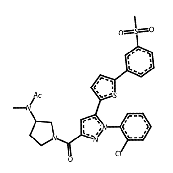 CC(=O)N(C)C1CCN(C(=O)c2cc(-c3ccc(-c4cccc(S(C)(=O)=O)c4)s3)n(-c3ccccc3Cl)n2)C1